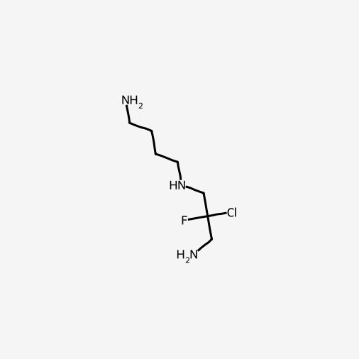 NCCCCNCC(F)(Cl)CN